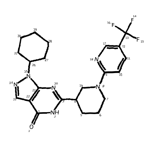 O=c1[nH]c(C2CCCN(c3ccc(C(F)(F)F)cn3)C2)nc2c1cnn2C1CCCCC1